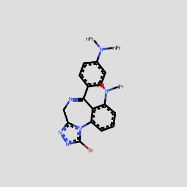 CCCN(CCC)c1ccc(C2=NCc3nnc(Br)n3-c3cccc(N(C(C)C)C(C)C)c32)cc1